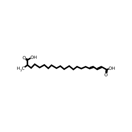 CC(CCCCCCCCCCCCCCC=CC=CC(=O)O)C(=O)O